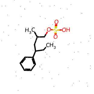 CCC(CC(C)COS(=O)(=O)O)c1ccccc1